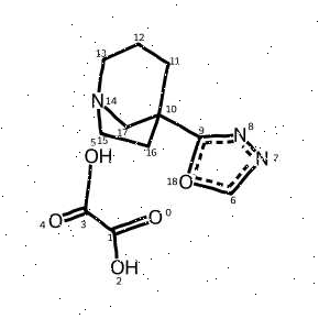 O=C(O)C(=O)O.c1nnc(C23CCCN(CC2)C3)o1